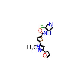 Cn1nc(C2CC=CO2)cc1-c1ccc(C(=O)Nc2ccncc2F)s1